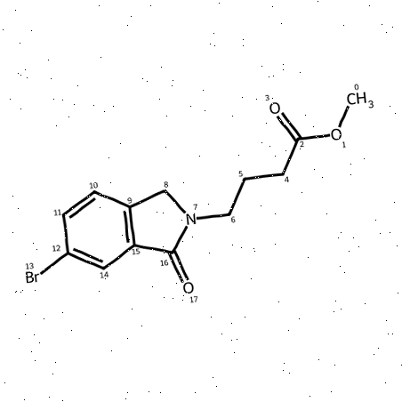 COC(=O)CCCN1Cc2ccc(Br)cc2C1=O